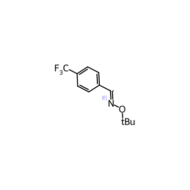 CC(C)(C)O/N=[C]/c1ccc(C(F)(F)F)cc1